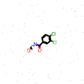 O=C=NC(=O)c1ccc(Cl)c(Cl)c1